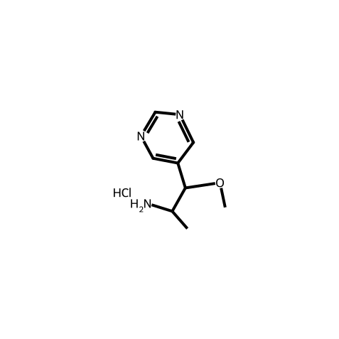 COC(c1cncnc1)C(C)N.Cl